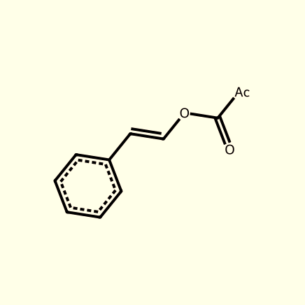 CC(=O)C(=O)OC=Cc1ccccc1